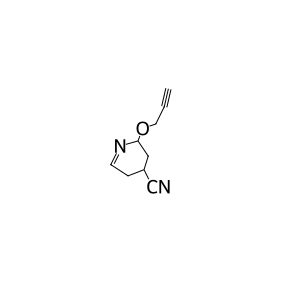 C#CCOC1CC(C#N)CC=N1